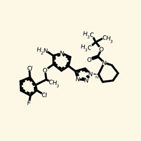 CC(Oc1cc(-c2cn([C@H]3CCCCN3C(=O)OC(C)(C)C)nn2)cnc1N)c1c(Cl)ccc(F)c1Cl